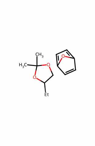 CCC1COC(C)(C)O1.c1cc2ccc1o2